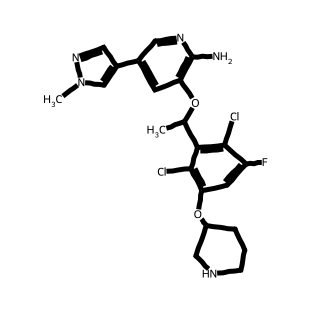 CC(Oc1cc(-c2cnn(C)c2)cnc1N)c1c(Cl)c(F)cc(OC2CCCNC2)c1Cl